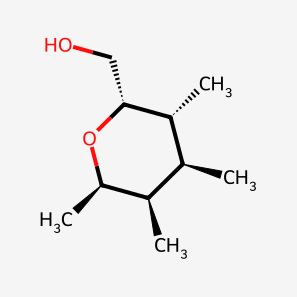 C[C@H]1[C@@H](C)[C@@H](C)O[C@H](CO)[C@@H]1C